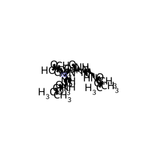 CC(C)(C)OC(=O)NCc1cnn(C[C@H]2NC(=O)[C@H]2NC(=O)/C(=N\OC(C)(C)C(=O)O)c2csc(NC(=O)OC(C)(C)C)n2)n1